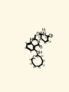 Cc1nc2cccc(BC3CCCCCCCC3)c2c(=O)n1[C@H]1CCC(=O)NC1=O